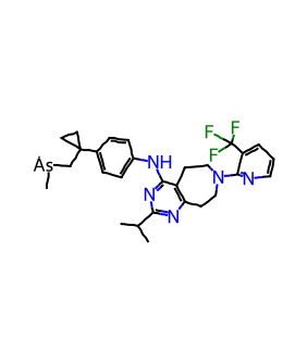 CC(C)c1nc2c(c(Nc3ccc(C4(C[As](C)C)CC4)cc3)n1)CCN(c1ncccc1C(F)(F)F)CC2